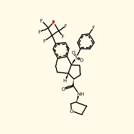 O=C(N[C@H]1CCOC1)[C@@H]1CC[C@@]2(S(=O)(=O)c3ccc(F)cc3)c3ccc(C(F)(C(F)(F)F)C(F)(F)F)cc3CC[C@@H]12